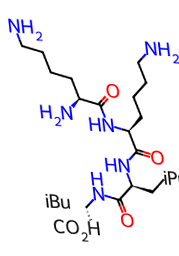 CC[C@H](C)[C@H](NC(=O)[C@H](CC(C)C)NC(=O)[C@H](CCCCN)NC(=O)[C@@H](N)CCCCN)C(=O)O